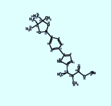 C[C@@H](c1ncc(-c2ccc(B3OC(C)(C)C(C)(C)O3)cc2)[nH]1)N(C)C(=O)OC(C)(C)C